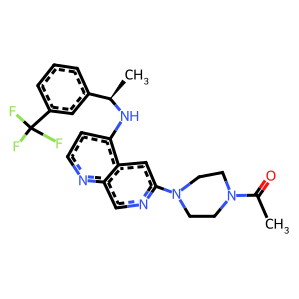 CC(=O)N1CCN(c2cc3c(N[C@H](C)c4cccc(C(F)(F)F)c4)ccnc3cn2)CC1